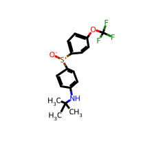 CC(C)(C)Nc1ccc([S+]([O-])c2ccc(OC(F)(F)F)cc2)cc1